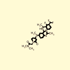 Cc1nc(N[C@H](C)c2cccc(C(F)F)c2F)c2cc(N(C)c3ccn(CC(=O)N(C)C)c(=O)c3)ccc2n1